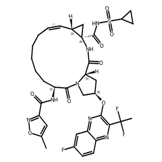 Cc1cc(C(=O)N[C@H]2CCCCC/C=C\[C@@H]3C[C@@]3(C(=O)NS(=O)(=O)C3CC3)NC(=O)[C@@H]3C[C@@H](Oc4nc5cc(F)ccc5nc4C(C)(F)F)CN3C2=O)no1